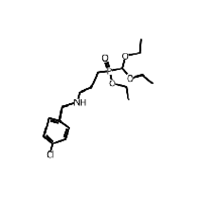 CCOC(OCC)P(=O)(CCCNCc1ccc(Cl)cc1)OCC